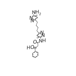 Nc1nnc(CCCCc2nnc(NC(=O)C[C@@H](O)c3ccccc3)s2)s1